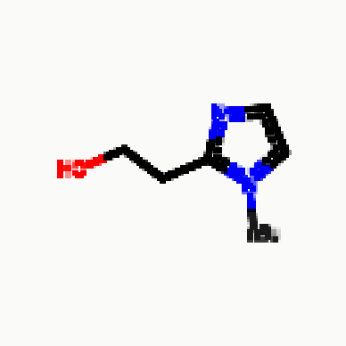 [CH2]CCCn1ccnc1CCO